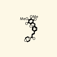 COC1=C(OC)C(=O)C(Cc2ccc(C=CC(=O)N3CCOCC3)cc2)=C(C)C1=O